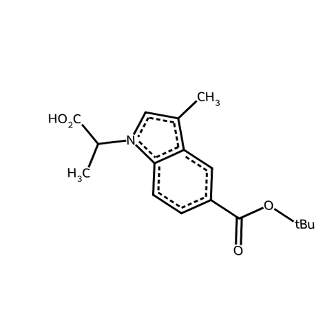 Cc1cn(C(C)C(=O)O)c2ccc(C(=O)OC(C)(C)C)cc12